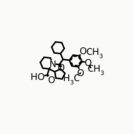 COc1cc(C(C(=O)N2CCCCC2(C(=O)O)C2CCCC2)C2CCCCC2)cc(OC)c1OC